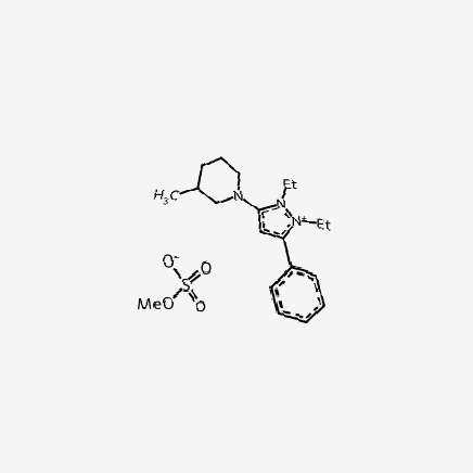 CCn1c(N2CCCC(C)C2)cc(-c2ccccc2)[n+]1CC.COS(=O)(=O)[O-]